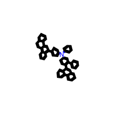 c1ccc(-c2cc(N(c3ccccc3)c3ccc(-c4cc5c6ccccc6ccc5c5ccccc45)cc3)ccc2-c2cc3ccccc3c3ccccc23)cc1